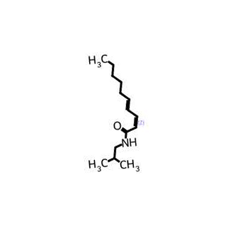 CCCCCC=C/C=C\C(=O)NCC(C)C